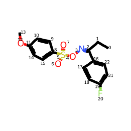 CCC(=NOS(=O)(=O)c1ccc(OC)cc1)c1ccc(F)cc1